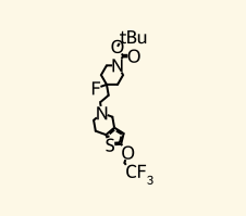 CC(C)(C)OC(=O)N1CCC(F)(CCN2CCc3sc(OCC(F)(F)F)cc3C2)CC1